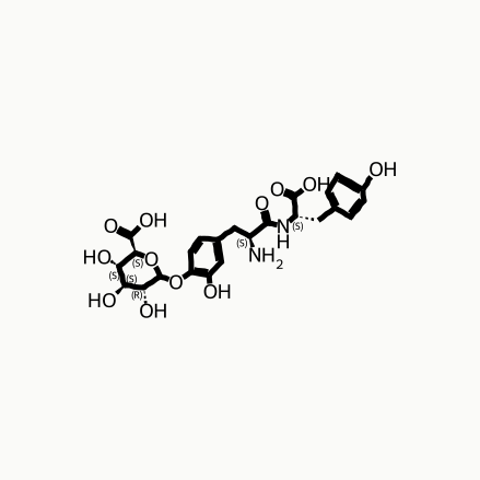 N[C@@H](Cc1ccc(OC2O[C@H](C(=O)O)[C@@H](O)[C@H](O)[C@H]2O)c(O)c1)C(=O)N[C@@H](Cc1ccc(O)cc1)C(=O)O